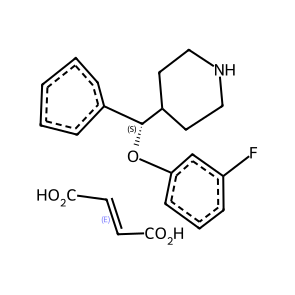 Fc1cccc(O[C@H](c2ccccc2)C2CCNCC2)c1.O=C(O)/C=C/C(=O)O